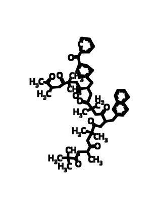 CC(=O)C(C)CC(=O)C(C)(C)CC(=O)C(CC(=O)C(C)(C)CC(=O)C(CC(=O)C(C)(C)CC(=O)C(C)CC(=O)C(C)(C)C)Cc1ccc2ccccc2c1)Cc1ccc(C(=O)c2ccccc2)cc1